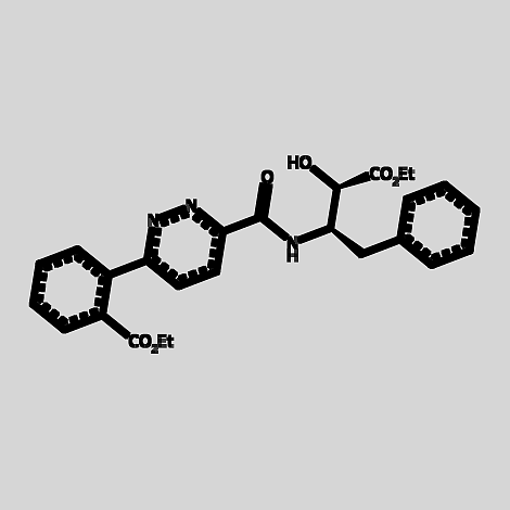 CCOC(=O)c1ccccc1-c1ccc(C(=O)N[C@H](Cc2ccccc2)[C@@H](O)C(=O)OCC)nn1